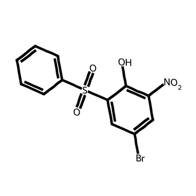 O=[N+]([O-])c1cc(Br)cc(S(=O)(=O)c2ccccc2)c1O